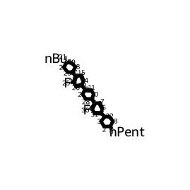 CCCCCC1CCC(c2ccc(C3CC=C(c4ccc(C5CCC(CCCC)CC5)c(F)c4)CC3)c(F)c2)CC1